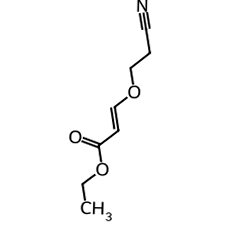 CCOC(=O)C=COCCC#N